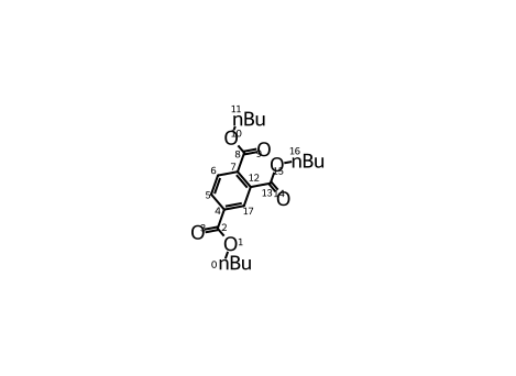 CCCCOC(=O)c1ccc(C(=O)OCCCC)c(C(=O)OCCCC)c1